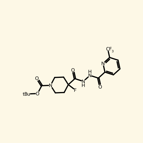 CC(C)(C)OC(=O)N1CCC(F)(C(=O)NNC(=O)c2cccc(C(F)(F)F)n2)CC1